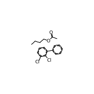 CCCCOC(C)=O.Clc1cccc(-c2ccccc2)c1Cl